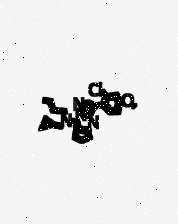 CCCCN(CC1CC1)c1c2c(nc3c(-c4ccc(OC)cc4Cl)cnn13)CCC2